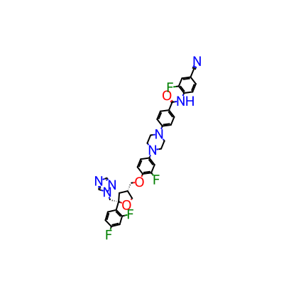 N#Cc1ccc(NC(=O)c2ccc(N3CCN(c4ccc(OC[C@@H]5CO[C@@](Cn6cncn6)(c6ccc(F)cc6F)C5)c(F)c4)CC3)cc2)c(F)c1